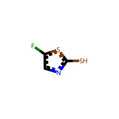 Fc1cnc(S)s1